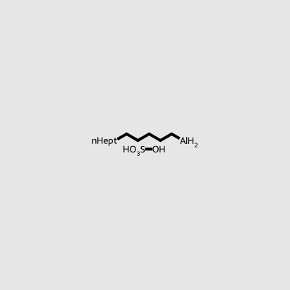 CCCCCCCCCCC[CH2][AlH2].O=S(=O)(O)O